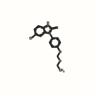 CCOCOc1ccc(-n2c(=S)[nH]c3ccc(Cl)cc32)cc1